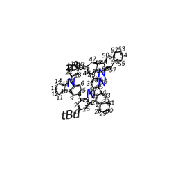 CC(C)(C)c1cc(-c2ccc3c(c2)c2ccccc2n3-c2ccccc2)c2c(c1)c1c3ccccc3cc3c4nc5c(cc4n2c31)c1cc(C(C)(C)C)cc2c3cc4ccccc4cc3n5c21